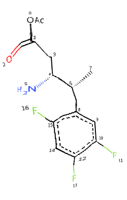 CC(=O)OC(=O)C[C@@H](N)[C@H](C)c1cc(F)c(F)cc1F